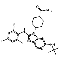 CC(C)(C)Nc1ncc2nc(Nc3c(F)cc(F)cc3F)n([C@H]3CC[C@@H](C(N)=O)CC3)c2n1